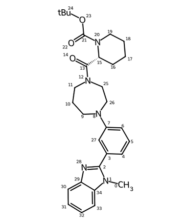 Cn1c(-c2cccc(N3CCCN(C(=O)[C@H]4CCCCN4C(=O)OC(C)(C)C)CC3)c2)nc2ccccc21